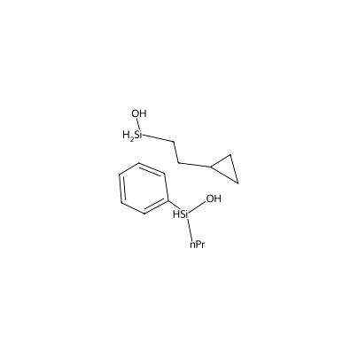 CCC[SiH](O)c1ccccc1.O[SiH2]CCC1CC1